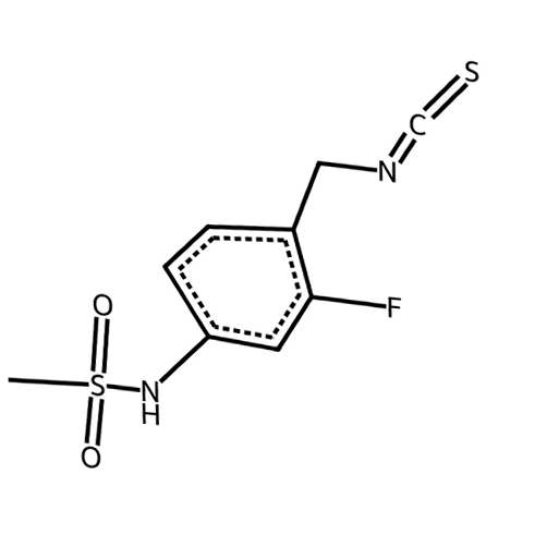 CS(=O)(=O)Nc1ccc(CN=C=S)c(F)c1